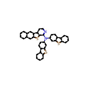 c1ccc2cc3c(cc2c1)sc1c(N(c2ccc4c(c2)sc2ccccc24)c2ccc4c(c2)sc2ccccc24)nccc13